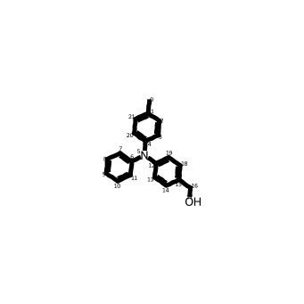 Cc1ccc(N(c2ccccc2)c2ccc(CO)cc2)cc1